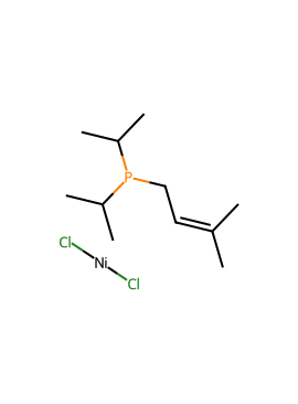 CC(C)=CCP(C(C)C)C(C)C.[Cl][Ni][Cl]